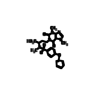 CN(C(CCn1c(=O)c2c(ncn2C)n(C)c1=O)C(=O)O)S(=O)(=O)c1ccc(Oc2ccccc2)cc1